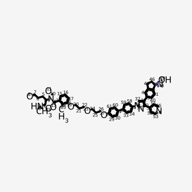 CNC(=O)C(CCC=O)N(C=O)C(=O)c1cccc(OCCCOCCCOc2ccc(-c3ccc(-n4cc(-c5ccc6c(c5)CC/C6=N\O)c(-c5ccncc5)n4)cc3)cc2)c1C